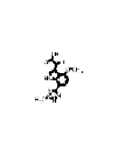 COc1ccc(-c2nnn(C)n2)c2[nH]cc(C(=O)C(C)=O)c12